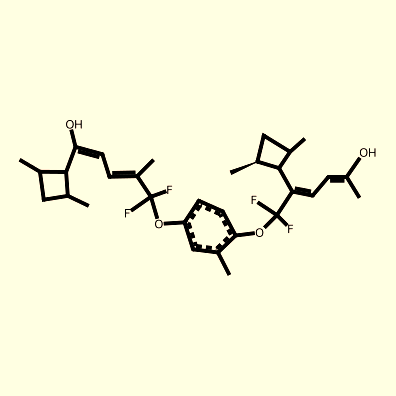 C/C(O)=C\C=C(/C1C(C)C[C@@H]1C)C(F)(F)Oc1ccc(OC(F)(F)/C(C)=C/C=C(/O)C2C(C)CC2C)cc1C